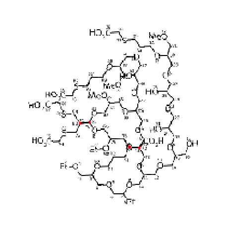 CCOCC(COCC(CC)OCC(COCC(CO)OCC(O)COCC(O)COCC(COC)OCCCSCC(=O)O)OCC(COCC(COCC(O)COCC(COC)OCCCSCC(=O)O)OCC(COCCCSCC(=O)O)OC)OCC(COCCCSCC(=O)O)OCC)OCCCSCC(=O)O